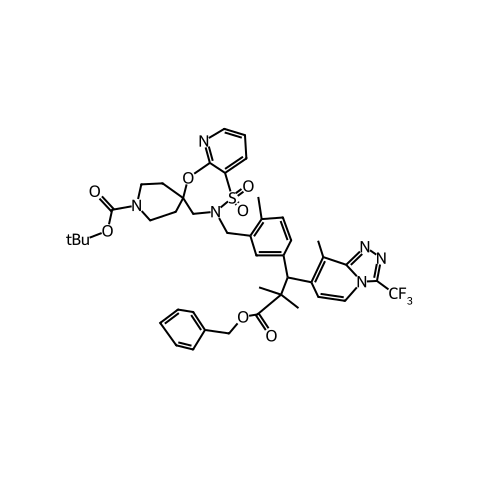 Cc1ccc(C(c2ccn3c(C(F)(F)F)nnc3c2C)C(C)(C)C(=O)OCc2ccccc2)cc1CN1CC2(CCN(C(=O)OC(C)(C)C)CC2)Oc2ncccc2S1(=O)=O